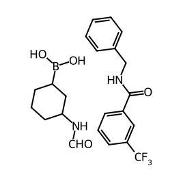 O=C(NCc1ccccc1)c1cccc(C(F)(F)F)c1.O=CNC1CCCC(B(O)O)C1